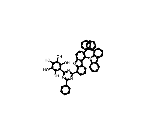 Oc1c(O)c(O)c(-c2nc(-c3ccccc3)nc(-c3cccc4c3oc3ccc(-c5ccccc5)c(-n5c6ccccc6c6cccc(-c7ccccc7)c65)c34)n2)c(O)c1O